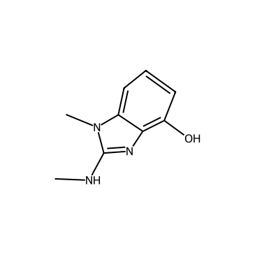 CNc1nc2c(O)cccc2n1C